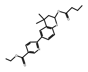 CCCC(=O)OC1CC(C)(C)c2cc(-c3ccc(C(=O)OCC)cn3)ccc2S1